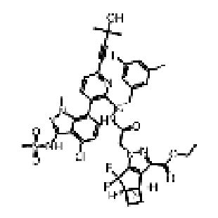 CCOC(=O)c1nn(CC(=O)N[C@@H](Cc2cc(F)cc(F)c2)c2nc(C#CC(C)(C)O)ccc2-c2ccc(Cl)c3c(NS(C)(=O)=O)nn(C)c23)c2c1[C@H]1CC[C@H]1C2(F)F